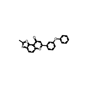 Cc1nc2ccc3oc(-c4cccc(Oc5ccccc5)c4)cc(=O)c3c2o1